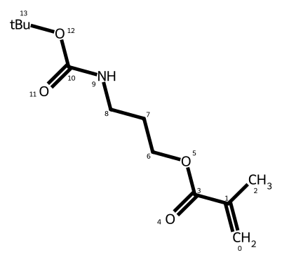 C=C(C)C(=O)OCCCNC(=O)OC(C)(C)C